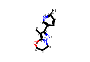 CCc1ccc(-c2nn3c(c2C)OCCC3)cn1